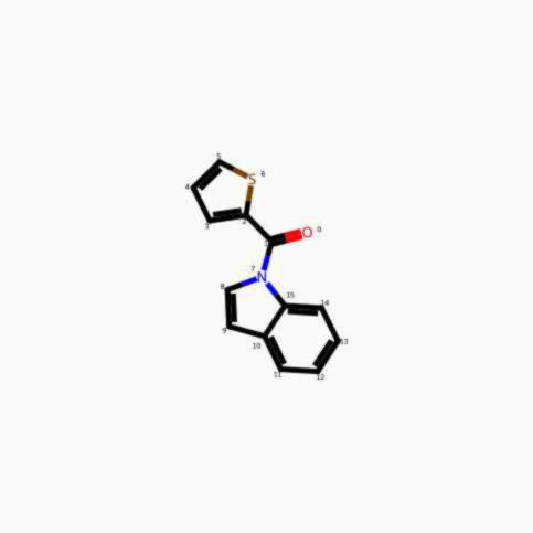 O=C(c1cccs1)n1ccc2ccccc21